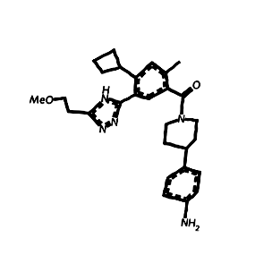 COCCc1nnc(-c2cc(C(=O)N3CCC(c4ccc(N)cc4)CC3)c(C)cc2C2CCC2)[nH]1